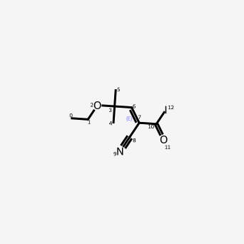 CCOC(C)(C)/C=C(\C#N)C(=O)I